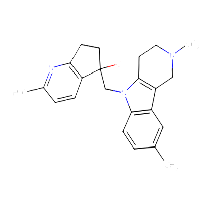 Cc1ccc2c(c1)c1c(n2CC2(O)CCc3nc(C)ccc32)CCN(C)C1